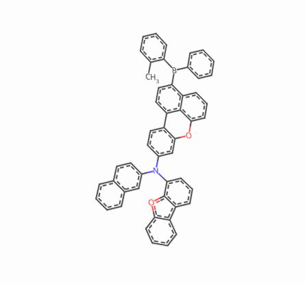 Cc1ccccc1B(c1ccccc1)c1ccc2c3c(cccc13)Oc1cc(N(c3ccc4ccccc4c3)c3cccc4c3oc3ccccc34)ccc1-2